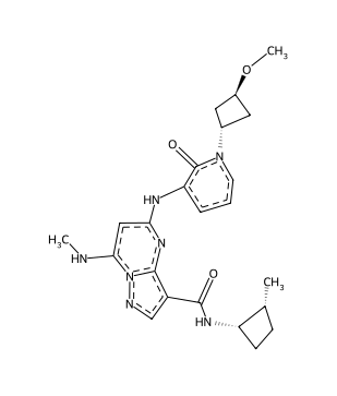 CNc1cc(Nc2cccn([C@H]3C[C@H](OC)C3)c2=O)nc2c(C(=O)N[C@H]3CC[C@H]3C)cnn12